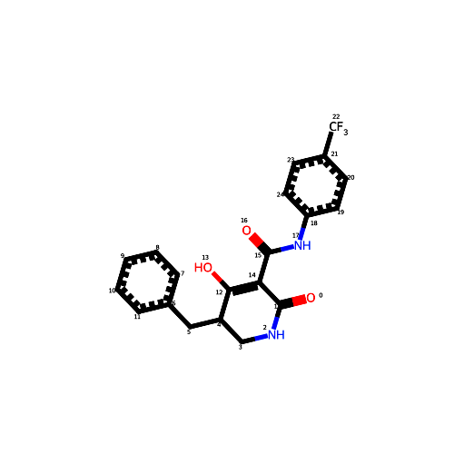 O=C1NCC(Cc2ccccc2)C(O)=C1C(=O)Nc1ccc(C(F)(F)F)cc1